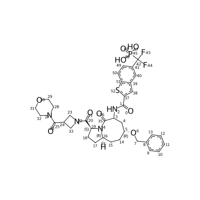 O=C(NC1C[C@H](OCc2ccccc2)CC[C@H]2CC[C@@H](C(=O)N3CC(C(=O)N4CCOCC4)C3)N2C1=O)c1cc2cc(C(F)(F)P(=O)(O)O)ccc2s1